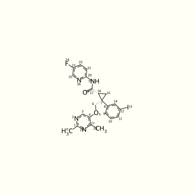 Cc1ncc(OC[C@@]2(c3cccc(I)c3)C[C@H]2C(=O)Nc2ccc(F)cn2)c(C)n1